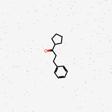 O=C(CCc1ccccc1)C1CCCC1